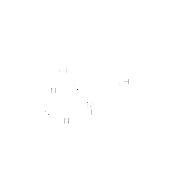 Oc1nc(NCc2cccc(O)c2O)c2nc[nH]c2n1